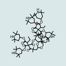 CCC(C(=O)OC1CC(C)(C)NC(C)(C)C1)C(C(=O)OC1CC(C)(C)NC(C)(C)C1)(C(=O)OC1CC(C)(C)NC(C)(C)C1)C(=O)C(C)(C)CC1OCC2(COCOC2CC(C)(C)C(=O)C(C(=O)OC2CC(C)(C)NC(C)(C)C2)(C(=O)OC2CC(C)(C)NC(C)(C)C2)C(CC)C(=O)OC2CC(C)(C)NC(C)(C)C2)CO1